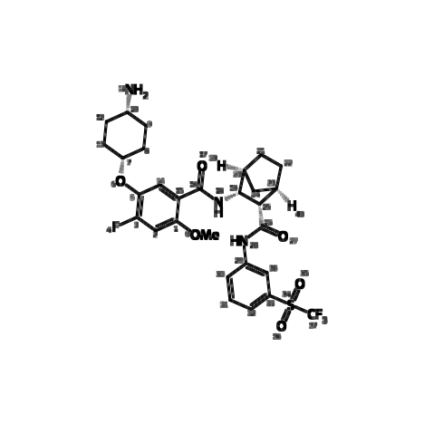 COc1cc(F)c(O[C@H]2CC[C@@H](N)CC2)cc1C(=O)N[C@@H]1[C@H]2CC[C@H](C2)[C@@H]1C(=O)Nc1cccc(S(=O)(=O)C(F)(F)F)c1